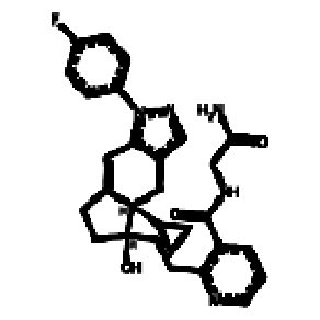 NC(=O)CNC(=O)c1cccnc1CC[C@]1(O)CCC2=Cc3c(cnn3-c3ccc(F)cc3)C[C@@]21C1CC1